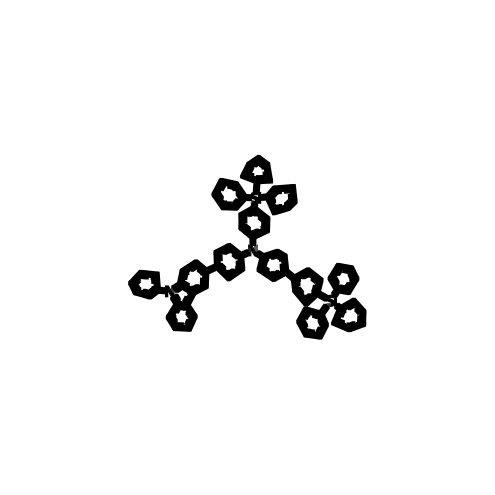 c1ccc(-n2c3ccccc3c3cc(-c4ccc(N(c5ccc(-c6ccc([Si](c7ccccc7)(c7ccccc7)c7ccccc7)cc6)cc5)c5ccc([Si](c6ccccc6)(c6ccccc6)c6ccccc6)cc5)cc4)ccc32)cc1